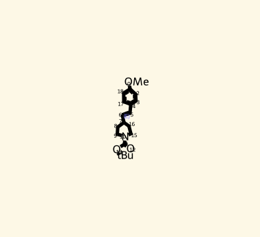 COc1ccc(/C=C/C2CCN(C(=O)OC(C)(C)C)CC2)cc1